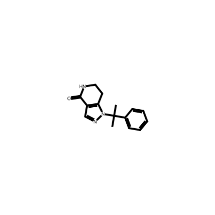 CC(C)(c1ccccc1)n1ncc2c1CCNC2=O